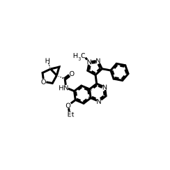 CCOc1cc2ncnc(-c3cn(C)nc3-c3ccccc3)c2cc1NC(=O)[C@]12COC[C@H]1C2